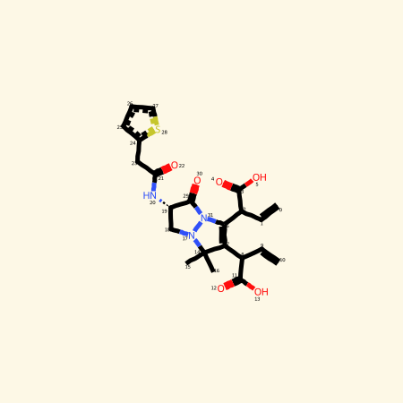 C=CC(C(=O)O)C1=C(C(C=C)C(=O)O)C(C)(C)N2C[C@H](NC(=O)Cc3cccs3)C(=O)N12